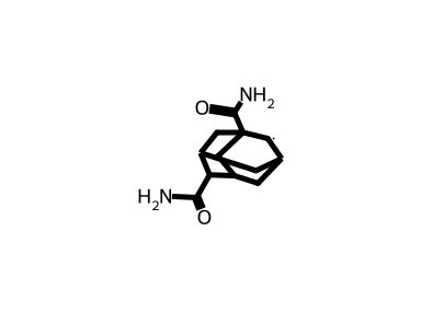 NC(=O)C1C2CC3[CH]C(C(N)=O)(C2)CC1C3